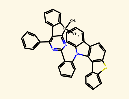 C[Si]1(C)c2ccccc2-c2c(-c3ccccc3)nc(-c3ccccc3-n3c4ccccc4c4ccc5sc6ccccc6c5c43)nc21